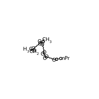 C=C(C)C(=O)OCCCCCCOC(=O)c1cc(C)ccc1OCCCCCCOC(=O)CCC(=O)OCCCCCCOc1ccc(C2CCC(CCC)CC2)cc1